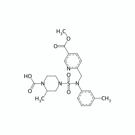 COC(=O)c1ccc(CN(c2cccc(C)c2)S(=O)(=O)N2CCN(C(=O)O)C(C)C2)nc1